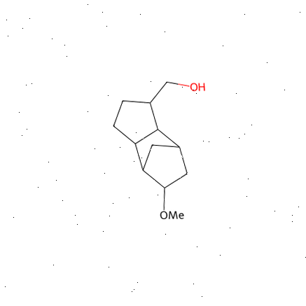 COC1CC2CC1C1CCC(CO)C21